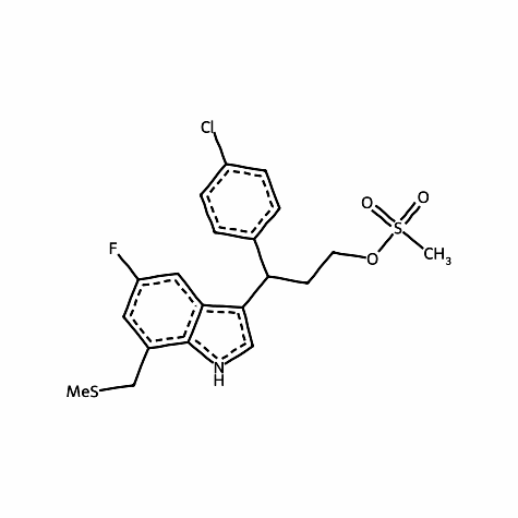 CSCc1cc(F)cc2c(C(CCOS(C)(=O)=O)c3ccc(Cl)cc3)c[nH]c12